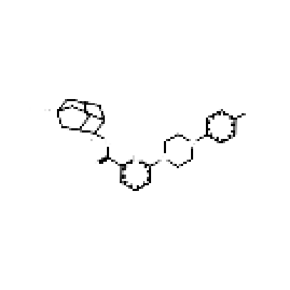 O=C(N[C@H]1C2CC3CC1C[C@](O)(C3)C2)c1cccc(N2CCN(c3ccc(O)cc3)CC2)n1